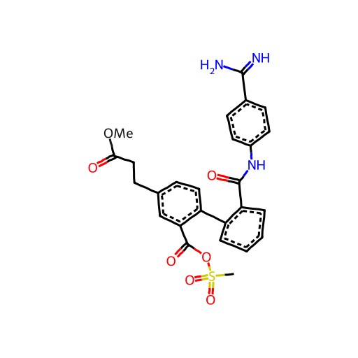 COC(=O)CCc1ccc(-c2ccccc2C(=O)Nc2ccc(C(=N)N)cc2)c(C(=O)OS(C)(=O)=O)c1